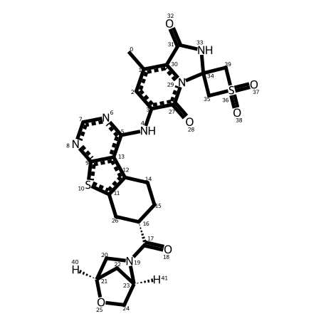 Cc1cc(Nc2ncnc3sc4c(c23)CC[C@H](C(=O)N2C[C@H]3C[C@@H]2CO3)C4)c(=O)n2c1C(=O)NC21CS(=O)(=O)C1